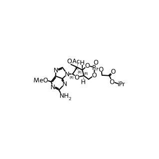 COc1nc(N)nc2c1ncn2[C@@H]1O[C@@H]2CO[P@@](=O)(OCC(=O)OC(C)C)O[C@H]2[C@@]1(C)OC(C)=O